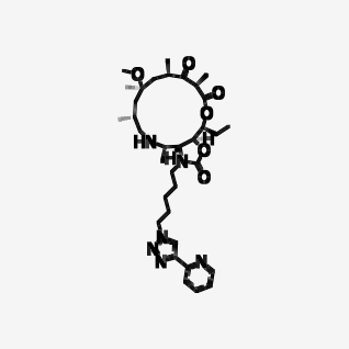 CC[C@@H]1OC(=O)[C@H](C)C(=O)[C@H](C)C[C@](C)(OC)C[C@@H](C)CN[C@H](C)[C@@H]2[C@@H]1OC(=O)N2CCCCCn1cc(-c2ccccn2)nn1